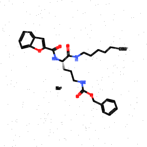 O=C([O-])CCCCCNC(=O)[C@H](CCCNC(=O)OCc1ccccc1)NC(=O)c1cc2ccccc2o1.[Na+]